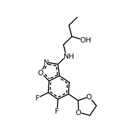 CCC(O)CNc1noc2c(F)c(F)c(C3OCCO3)cc12